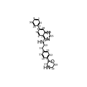 c1ccc(-c2ccc3c(NCCc4ccc(C5CNCCO5)cc4)ncnc3c2)cc1